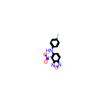 O=[N+]([O-])c1c(Nc2ccc(F)cc2)ccc2nonc12